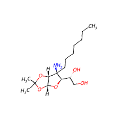 CCCCCCC[C@]1(N)[C@@H]([C@H](O)CO)O[C@@H]2OC(C)(C)O[C@@H]21